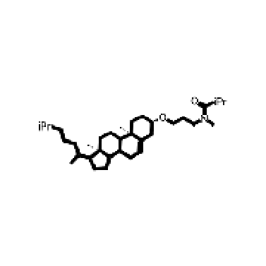 CC(C)CCCC(C)C1CCC2C3CC=C4C[C@@H](OCCCN(C)C(=O)C(C)C)CC[C@]4(C)C3CC[C@]12C